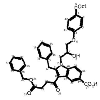 CCCCCCCCc1ccc(OCC(O)Cn2c(Cc3ccccc3)c(C(=O)CCC(=O)OCc3ccccc3)c3cc(C(=O)O)ccc32)cc1